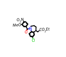 CCOC(=O)CC1CCCN(C(=O)c2ccc([N+](=O)[O-])c(OC)c2)c2ccc(Cl)cc21